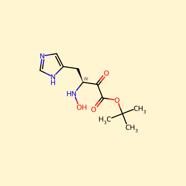 CC(C)(C)OC(=O)C(=O)[C@H](Cc1cnc[nH]1)NO